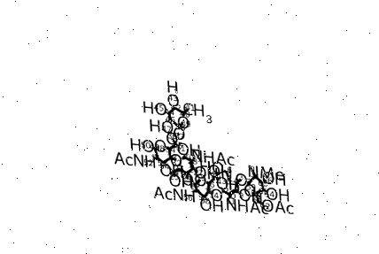 CNC1C(O[C@@H](CCO)/C(O)=C(/NC(C)=O)C(O)OC2C(CO)OC(OC(CCO)/C(O)=C(/NC(C)=O)C(O)OC3C(COOC4OC(C)C(O)C(O)C4O)OC(O)C(NC(C)=O)C3O)C(NC(C)=O)C2O)OC(COC(C)=O)C(O)C1O